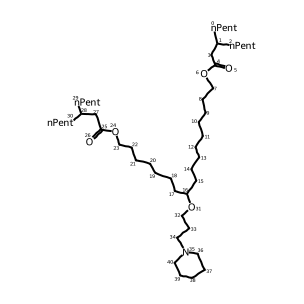 CCCCCC(CCCCC)CC(=O)OCCCCCCCCCC(CCCCCCCOC(=O)CC(CCCCC)CCCCC)OCCCN1CCCCC1